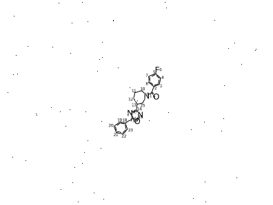 O=C(c1ccc(F)cc1)N1CCCC(c2noc(-c3ccccc3)n2)C1